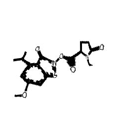 COc1cc(C(C)C)c2c(=O)n(OC(=O)C3CCC(=O)N3C)sc2c1